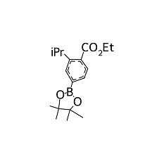 CCOC(=O)c1ccc(B2OC(C)(C)C(C)(C)O2)cc1C(C)C